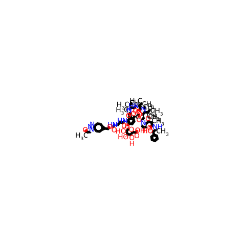 CC[C@H](C)[C@@H]([C@@H](CC(=O)N1CCC[C@H]1[C@H](OC)[C@@H](C)C(=O)N[C@H](C)[C@@H](O)c1ccccc1)OC)N(C)C(=O)[C@@H](NC(=O)[C@H](C(C)C)N(C)C(=O)OCc1ccc(O[C@@H]2OC(C(=O)O)[C@@H](O)[C@H](O)C2O)c(NC(=O)CCNC(=O)OCC2C3CCc4nnn(CC(C)=O)c4CCC32)c1)C(C)C